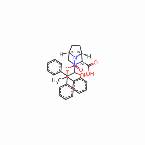 CC(OC(=O)N1[C@H]2CC[C@@H]1[C@@H](C(=O)O)N(C(O)C(c1ccccc1)c1ccccc1)C2)c1ccccc1